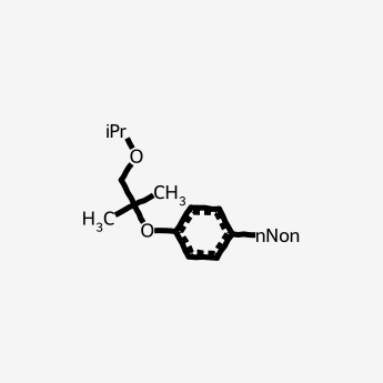 CCCCCCCCCc1ccc(OC(C)(C)COC(C)C)cc1